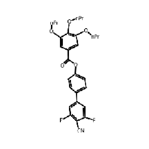 CCCOc1cc(C(=O)Oc2ccc(-c3cc(F)c(C#N)c(F)c3)cc2)cc(OCCC)c1OCCC